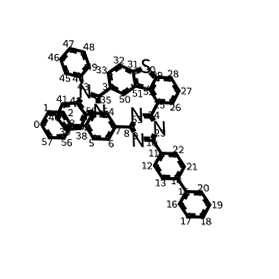 c1ccc(-c2ccc(-c3nc(-c4ccc(-c5ccccc5)cc4)nc(-c4cccc5sc6ccc(-c7nc8ccccc8n7-c7ccccc7)cc6c45)n3)cc2)cc1